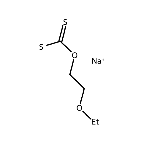 CCOCCOC(=S)[S-].[Na+]